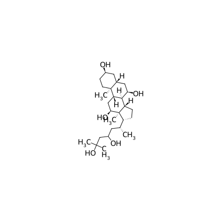 C[C@H](CC(O)CC(C)(C)O)[C@H]1CC[C@H]2[C@@H]3[C@H](O)C[C@H]4C[C@H](O)CC[C@]4(C)[C@H]3C[C@H](O)[C@]12C